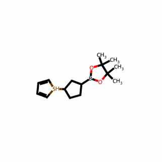 CC1(C)OB(C2CCC([SH]3[C]=CC=C3)C2)OC1(C)C